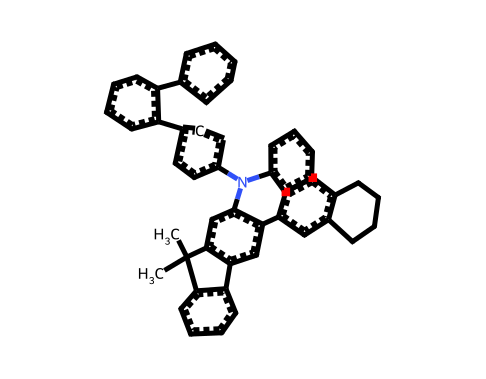 CC1(C)c2ccccc2-c2cc(-c3ccc4c(c3)CCCC4)c(N(c3ccccc3)c3ccc(-c4ccccc4-c4ccccc4)cc3)cc21